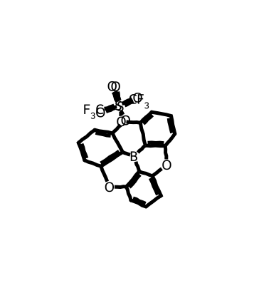 O=S(=O)(Oc1cccc2c1B1c3c(cccc3Oc3cccc(OS(=O)(=O)C(F)(F)F)c31)O2)C(F)(F)F